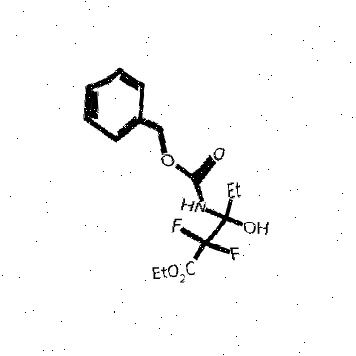 CCOC(=O)C(F)(F)C(O)(CC)NC(=O)OCc1ccccc1